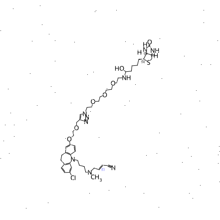 CN(C/C=C/C#N)CCCCN1c2ccc(OCCOCc3cn(CCOCCOCCOCCNC(O)CCCC[C@@H]4SC[C@@H]5NC(=O)N[C@@H]54)nn3)cc2CCc2ccc(Cl)cc21